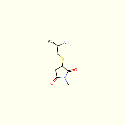 CC(=O)[C@@H](N)CSC1CC(=O)N(C)C1=O